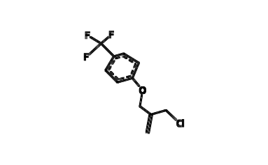 C=C(CCl)COc1ccc(C(F)(F)F)cc1